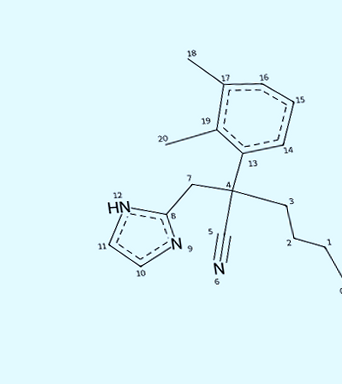 CCCCC(C#N)(Cc1ncc[nH]1)c1cccc(C)c1C